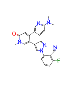 CN(C)c1ccc(-c2cc(=O)n(C)cc2-c2cnn(-c3cccc(F)c3C#N)c2)cn1